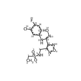 CCS(=O)(=O)NCc1nonc1/C(=N/O)Nc1ccc(F)c(Cl)c1